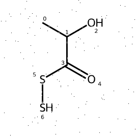 CC(O)C(=O)SS